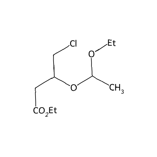 CCOC(=O)CC(CCl)OC(C)OCC